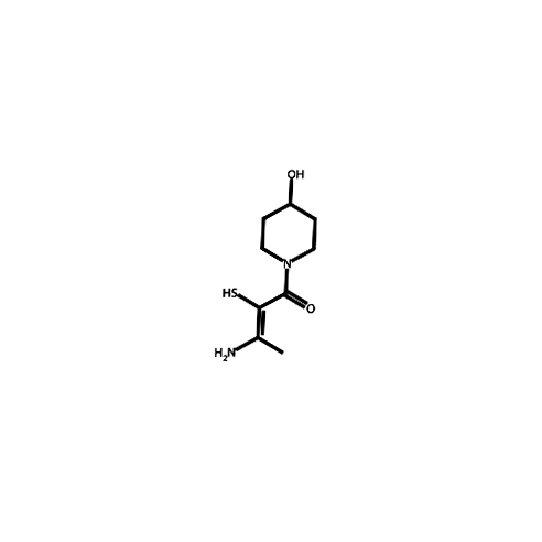 C/C(N)=C(/S)C(=O)N1CCC(O)CC1